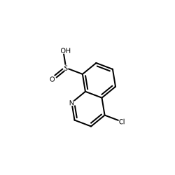 O=S(O)c1cccc2c(Cl)ccnc12